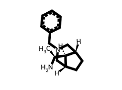 C[C@H](N)[C@@H]1[C@@H]2CC[C@H]1CN(Cc1ccccc1)C2